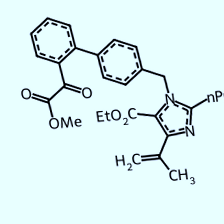 C=C(C)c1nc(CCC)n(Cc2ccc(-c3ccccc3C(=O)C(=O)OC)cc2)c1C(=O)OCC